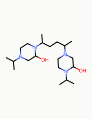 CC(C)N1CCN(C(C)CCC(C)N2CCN(C(C)C)C(O)C2)C(O)C1